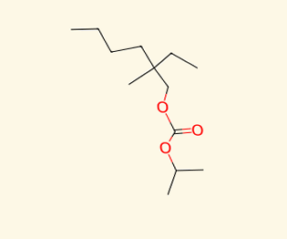 CCCCC(C)(CC)COC(=O)OC(C)C